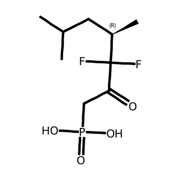 CC(C)C[C@@H](C)C(F)(F)C(=O)CP(=O)(O)O